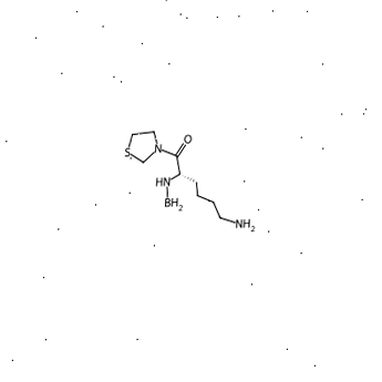 BN[C@@H](CCCCN)C(=O)N1CCSC1